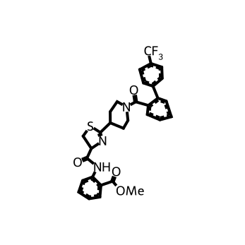 COC(=O)c1ccccc1NC(=O)C1CSC(C2CCN(C(=O)c3ccccc3-c3ccc(C(F)(F)F)cc3)CC2)=N1